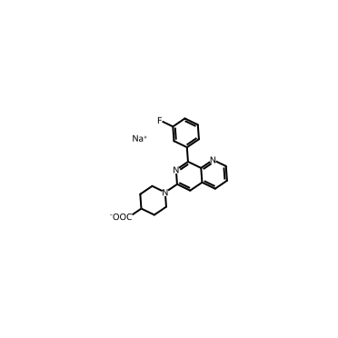 O=C([O-])C1CCN(c2cc3cccnc3c(-c3cccc(F)c3)n2)CC1.[Na+]